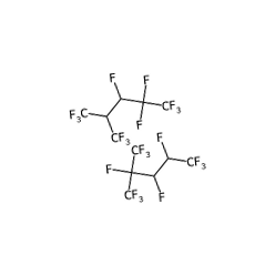 FC(C(C(F)(F)F)C(F)(F)F)C(F)(F)C(F)(F)F.FC(C(F)C(F)(C(F)(F)F)C(F)(F)F)C(F)(F)F